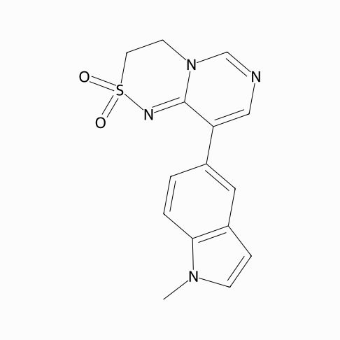 Cn1ccc2cc(C3=CN=CN4CCS(=O)(=O)N=C34)ccc21